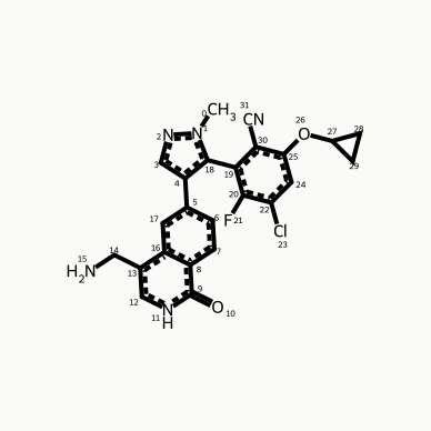 Cn1ncc(-c2ccc3c(=O)[nH]cc(CN)c3c2)c1-c1c(F)c(Cl)cc(OC2CC2)c1C#N